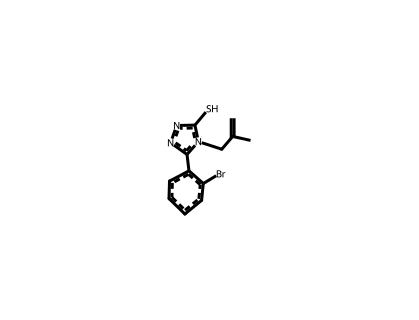 C=C(C)Cn1c(S)nnc1-c1ccccc1Br